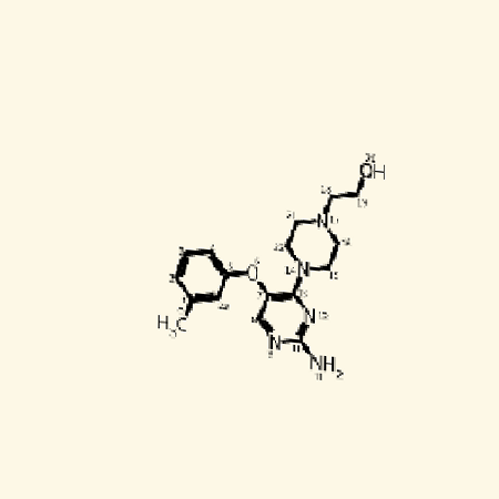 Cc1cccc(Oc2cnc(N)nc2N2CCN(CCO)CC2)c1